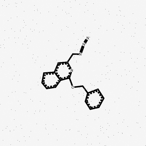 [N-]=[N+]=NCc1cc2ccccc2c(OCc2ccccc2)n1